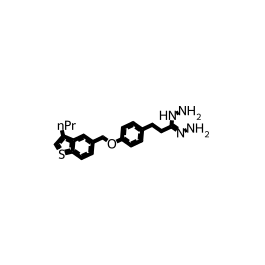 CCCc1csc2ccc(COc3ccc(CC/C(=N/N)NN)cc3)cc12